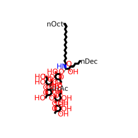 CCCCCCCC/C=C\CCCCCCCCCCCCCC(=O)N[C@@H](CO[C@@H]1OC(CO)[C@@H](O[C@@H]2OC(CO)[C@H](O)[C@H](O[C@@H]3OC(CO)[C@@H](O[C@@H]4OC(CO)[C@H](O)[C@H](O)C4O[C@H]4OC(C)[C@@H](O)C(O)[C@@H]4O)[C@H](O)C3NC(C)=O)C2O)[C@H](O)C1O)[C@H](O)/C=C/CCCCCCCCCCCCC